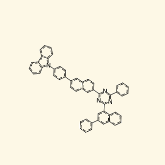 c1ccc(-c2cc(-c3nc(-c4ccccc4)nc(-c4ccc5cc(-c6ccc(-n7c8ccccc8c8ccccc87)cc6)ccc5c4)n3)c3ccccc3c2)cc1